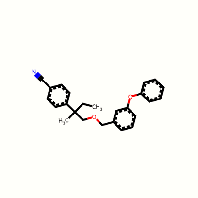 CCC(C)(COCc1cccc(Oc2ccccc2)c1)c1ccc(C#N)cc1